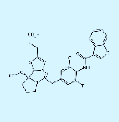 CC(C)O[C@]1(c2ncc(CCC(=O)O)s2)CCCN1C(=O)Cc1cc(F)c(NC(=O)c2coc3ccccc23)c(Cl)c1